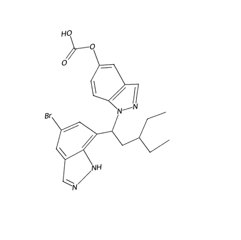 CCC(CC)CC(c1cc(Br)cc2cn[nH]c12)n1ncc2cc(OC(=O)O)ccc21